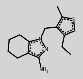 CCc1csc(C)c1Cn1nc(N)c2c1CCCC2